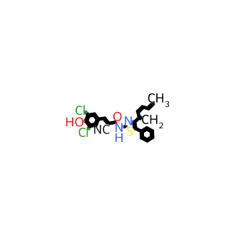 C=C(/C=C\C=C/C)c1nc(NC(=O)/C(C#N)=C/c2cc(Cl)c(O)c(Cl)c2)sc1-c1ccccc1